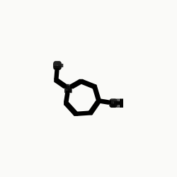 [O]CN1CCCC(O)CC1